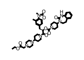 CCOC(=O)CN1CCN(C2CCN(C(=O)[C@@H](Cc3cc(C)c4c(c3)oc(=O)n4C)OC(=O)N3CCC(N4CCc5ccccc5NC4=O)CC3)CC2)CC1